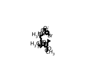 COC(=O)c1cc(-c2cnn(C)c2OCCC[C@@H](C)CNc2cc(Br)ccc2[N+](=O)[O-])c(=O)n(C2CC2)c1